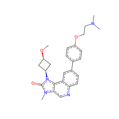 CO[C@H]1C[C@@H](n2c(=O)n(C)c3cnc4ccc(-c5ccc(OCCN(C)C)cc5)cc4c32)C1